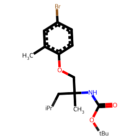 Cc1cc(Br)ccc1OCC(C)(CC(C)C)NC(=O)OC(C)(C)C